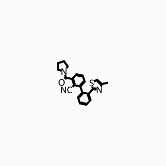 Cc1csc(-c2ccccc2-c2cccc(C(=O)N3CCCC3)c2C#N)n1